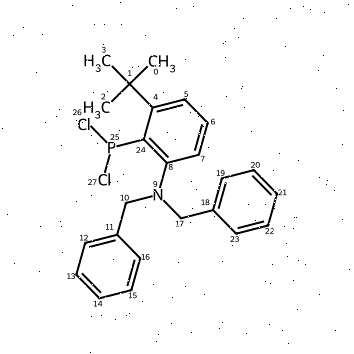 CC(C)(C)c1cccc(N(Cc2ccccc2)Cc2ccccc2)c1P(Cl)Cl